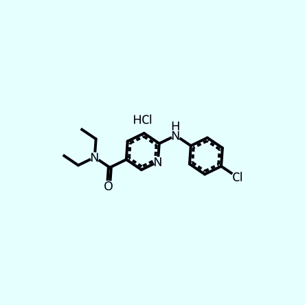 CCN(CC)C(=O)c1ccc(Nc2ccc(Cl)cc2)nc1.Cl